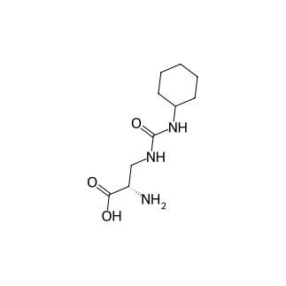 N[C@@H](CNC(=O)NC1CCCCC1)C(=O)O